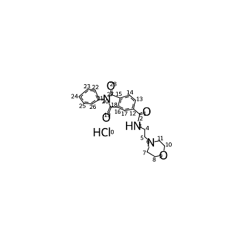 Cl.O=C(NCCN1CCOCC1)c1ccc2c(c1)C(=O)N(c1ccccc1)C2=O